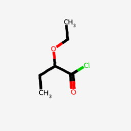 CCOC(CC)C(=O)Cl